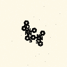 c1ccc(-c2nc(-c3cccc4c3oc3ccccc34)nc(-c3cccc4sc5cc(-c6nc(-c7ccccc7)nc7c6sc6ccccc67)ccc5c34)n2)cc1